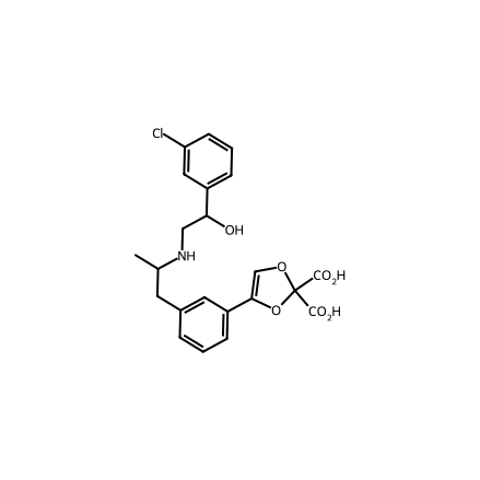 CC(Cc1cccc(C2=COC(C(=O)O)(C(=O)O)O2)c1)NCC(O)c1cccc(Cl)c1